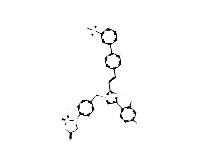 CS(=O)(=O)c1cccc(-c2ccc(C=Cc3nc(-c4ccc(Cl)cc4Cl)cn3Cc3ccc(N4CC(=O)NS4(=O)=O)cc3)cc2)c1